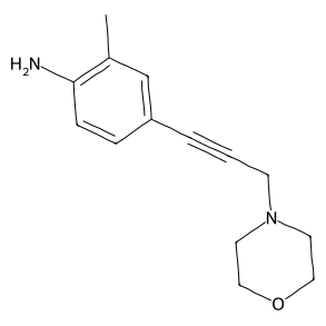 Cc1cc(C#CCN2CCOCC2)ccc1N